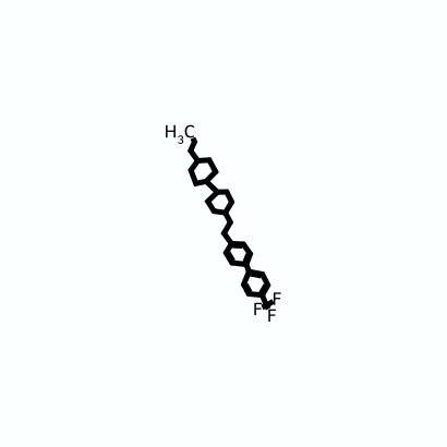 CCCC1CCC(C2CCC(CCc3ccc(-c4ccc(C(F)(F)F)cc4)cc3)CC2)CC1